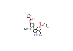 COc1cc(OC(=O)c2cscn2)ccc1-c1ccc2c(c1COC(=O)C1CC=C(C)S1)C(C)=CC(C)(C)N2